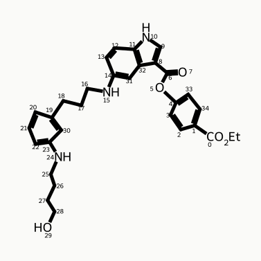 CCOC(=O)c1ccc(OC(=O)c2c[nH]c3ccc(NCCCc4cccc(NCCCCO)c4)cc23)cc1